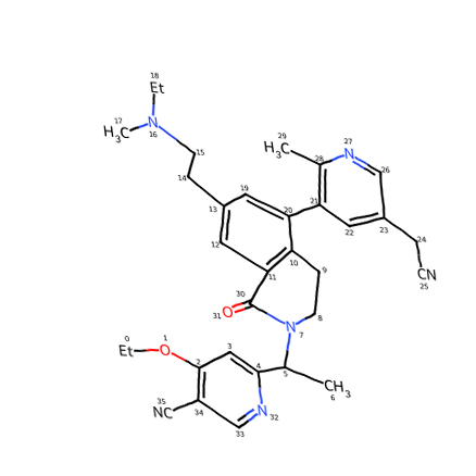 CCOc1cc(C(C)N2CCc3c(cc(CCN(C)CC)cc3-c3cc(CC#N)cnc3C)C2=O)ncc1C#N